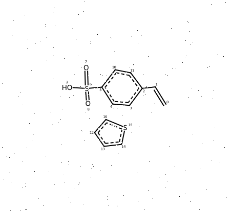 C=Cc1ccc(S(=O)(=O)O)cc1.c1ccsc1